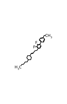 CCCCCC1CCC(/C=C/CCc2ccc(-c3ccc(CC)cc3)c(F)c2F)CC1